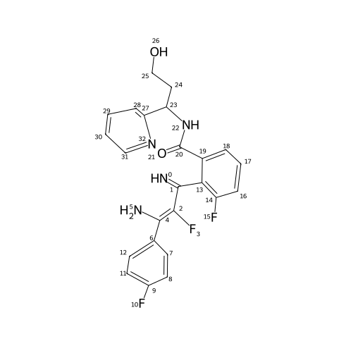 N=C(/C(F)=C(\N)c1ccc(F)cc1)c1c(F)cccc1C(=O)NC(CCO)c1ccccn1